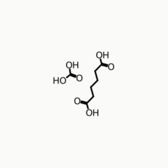 O=C(O)CCCCC(=O)O.O=C(O)O